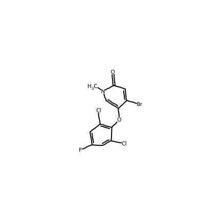 Cn1cc(Oc2c(Cl)cc(F)cc2Cl)c(Br)cc1=O